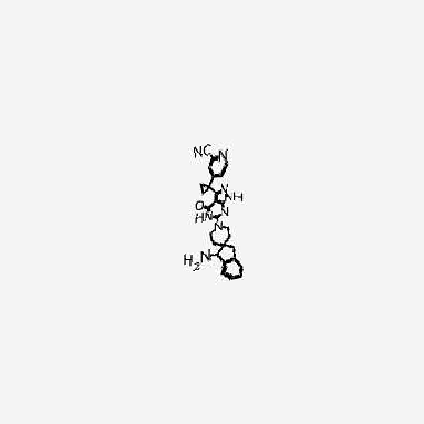 N#Cc1cc(C2(c3n[nH]c4nc(N5CCC6(CC5)Cc5ccccc5[C@H]6N)[nH]c(=O)c34)CC2)ccn1